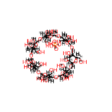 O=P(O)(O)OC[C@H]1O[C@@H]2O[C@H]3[C@H](O)[C@@H](O)[C@@H](O[C@H]4[C@H](O)[C@@H](O)[C@@H](O[C@H]5[C@H](O)[C@@H](O)[C@@H](O[C@H]6[C@H](O)[C@@H](O)[C@@H](O[C@H]7[C@H](O)[C@@H](O)[C@@H](O[C@H]8[C@H](O)[C@@H](O)[C@@H](O[C@H]1[C@H](O)[C@H]2O)O[C@@H]8CO)O[C@@H]7CO)O[C@@H]6CO)O[C@@H]5CO)O[C@@H]4CO)O[C@@H]3CO